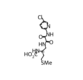 CSCC[C@H](CNC(=O)C(=O)Nc1ccc(Cl)cn1)NC(=O)O